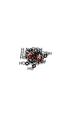 CC(C)C[C@H](NC(=O)[C@H](CC(=O)O)NC(=O)CN)C(=O)N[C@@H](CC(=O)O)C(=O)N[C@@H](Cc1ccc(O)cc1)C(=O)N[C@@H](Cc1ccc(O)cc1)C(=O)N[C@@H](CCC(=O)O)C(=O)N[C@@H](Cc1ccccc1)C(=O)N[C@H](C(=O)N[C@@H](C)C(=O)N[C@@H](Cc1ccc(O)cc1)C(=O)N[C@@H](Cc1c[nH]c2ccccc12)C(=O)O)[C@@H](C)O